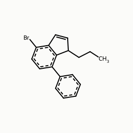 CCCC1C=Cc2c(Br)ccc(-c3ccccc3)c21